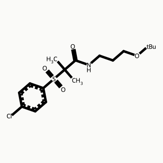 CC(C)(C)OCCCNC(=O)C(C)(C)S(=O)(=O)c1ccc(Cl)cc1